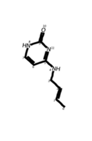 C/C=C/CNc1cc[nH]c(=O)n1